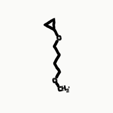 [CH2]OCCCCOC1CC1